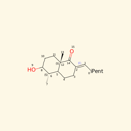 CCCC(C)/C=C1\CCC2[C@H](C)C(O)CC[C@]2(C)C1=O